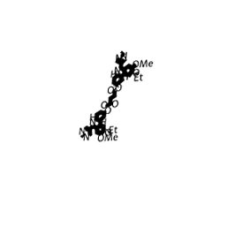 CCOc1cc2c(cc1OC)C(c1cncnc1)=N[C@@H]1CC[C@@H](OC(=O)CCC(=O)C(=O)O[C@@H]3CC[C@H]4N=C(c5cncnc5)c5cc(OC)c(OCC)cc5[C@H]4C3)C[C@H]21